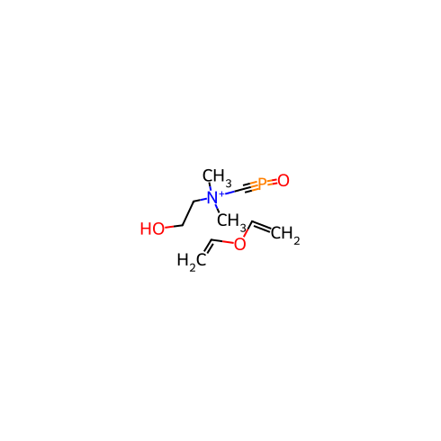 C=COC=C.C[N+](C)(C#P=O)CCO